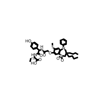 CCCCC1(CCCC)CN(c2ccccc2)c2cc(SC)c(OCC(=O)NC(C(=O)N[C@@H](CC)C(=O)O)c3ccc(O)cc3)cc2S(=O)(=O)C1